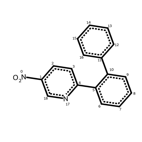 O=[N+]([O-])c1ccc(-c2ccccc2-c2ccccc2)nc1